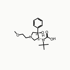 COCCN1C[C@@H](N(C(=O)O)C(C)(C)C)[C@@](O)(c2ccccc2)C1